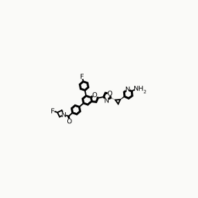 Nc1ccc([C@H]2C[C@@H]2c2nc(-c3cc4cc(-c5ccc(C(=O)N6CC(F)C6)cc5)cc(-c5ccc(F)cc5)c4o3)co2)cn1